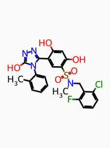 Cc1ccccc1-n1c(O)nnc1-c1cc(S(=O)(=O)N(C)Cc2c(F)cccc2Cl)c(O)cc1O